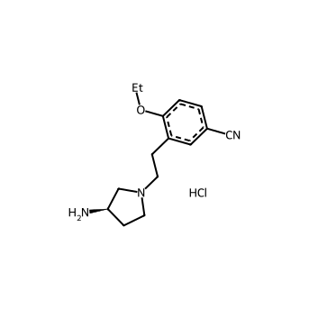 CCOc1ccc(C#N)cc1CCN1CC[C@@H](N)C1.Cl